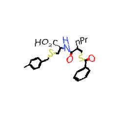 CCCC(CSC(=O)c1ccccc1)C(=O)N[C@@H](CSCc1ccc(C)cc1)C(=O)O